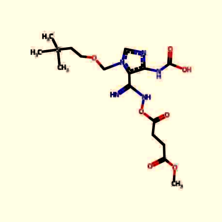 COC(=O)CCC(=O)ONC(=N)c1c(NC(=O)O)ncn1COCC[Si](C)(C)C